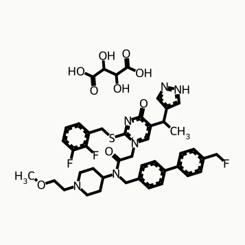 COCCN1CCC(N(Cc2ccc(-c3ccc(CF)cc3)cc2)C(=O)Cn2cc(C(C)c3cn[nH]c3)c(=O)nc2SCc2cccc(F)c2F)CC1.O=C(O)C(O)C(O)C(=O)O